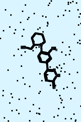 Cc1cc(-c2ccc(=O)[nH]n2)ccc1N1CCCCC1CO